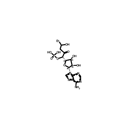 CCC(O)CC(=O)C(OP(=O)(O)O)[C@H]1O[C@@H](n2cnc3c(N)ncnc32)[C@H](O)[C@@H]1O